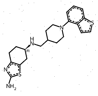 Nc1nc2c(s1)C[C@H](NCC1CCN(c3cccc4sccc34)CC1)CC2